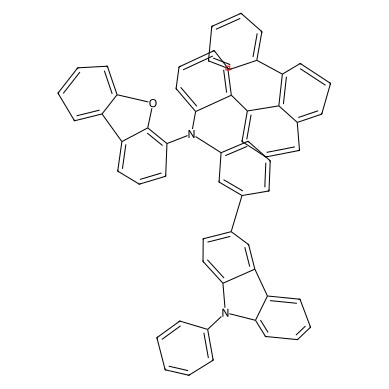 c1ccc(-c2cccc3cccc(-c4ccccc4N(c4cccc(-c5ccc6c(c5)c5ccccc5n6-c5ccccc5)c4)c4cccc5c4oc4ccccc45)c23)cc1